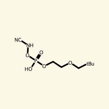 CC(C)(C)COCCOP(=O)(O)ONC#N